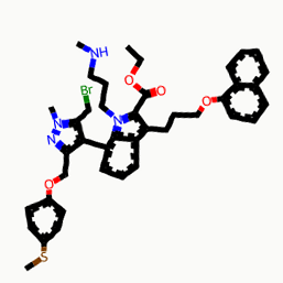 CCOC(=O)c1c(CCCOc2cccc3ccccc23)c2cccc(-c3c(COc4ccc(SC)cc4)nn(C)c3CBr)c2n1CCCNC